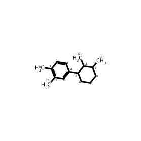 Cc1ccc(C2CCCC(C)C2C)cc1C